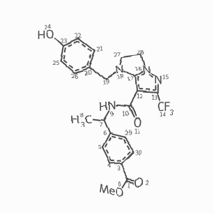 COC(=O)c1ccc(C(C)NC(=O)c2c(C(F)(F)F)nn3c2N(Cc2ccc(O)cc2)CC3)cc1